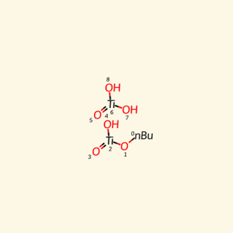 CCCC[O][Ti](=[O])[OH].[O]=[Ti]([OH])[OH]